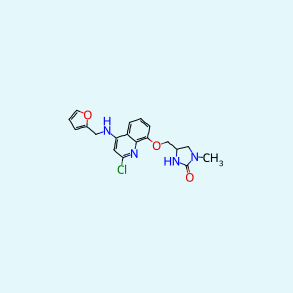 CN1CC(COc2cccc3c(NCc4ccco4)cc(Cl)nc23)NC1=O